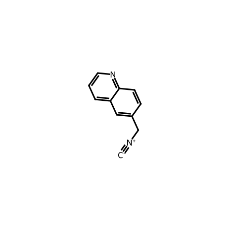 [C-]#[N+]Cc1ccc2ncccc2c1